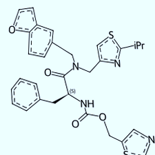 CC(C)c1nc(CN(Cc2ccc3occc3c2)C(=O)[C@H](Cc2ccccc2)NC(=O)OCc2cncs2)cs1